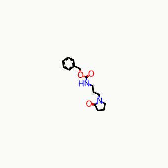 O=C(NCCCN1CCCC1=O)OCc1ccccc1